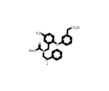 CCOC(=O)Cc1cccc(Oc2ccc([N+](=O)[O-])cc2CN(C[C@@H](C)c2ccccc2)C(=O)OC)c1